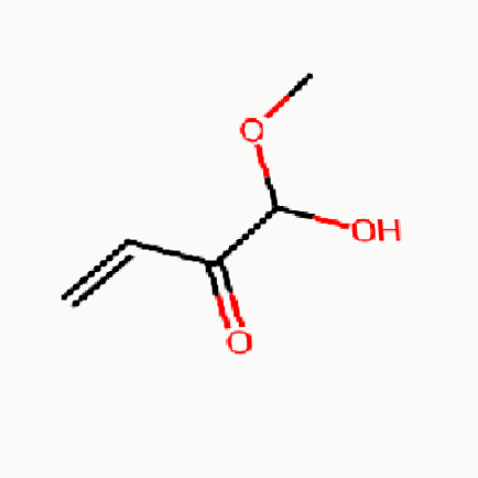 C=CC(=O)C(O)OC